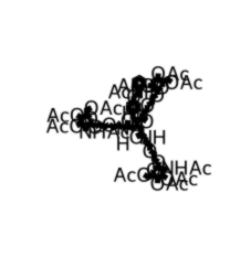 CC(=O)NC1C(OCCOCCNC(=O)CN(CC(=O)NCCOCCOC2OC(COC(C)=O)C(OC(C)=O)C(OC(C)=O)C2NC(C)=O)C(Cc2ccc(OCc3ccccc3)cc2)C(=O)NCOCCOC2OC(COC(C)=O)C(OC(C)=O)C[C@@]2(NC(C)=O)OC(C)=O)OC(COC(C)=O)C(OC(C)=O)C1OC(C)=O